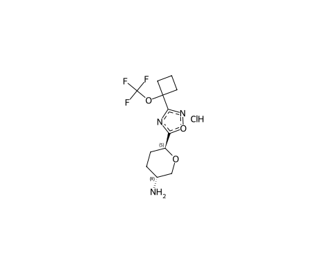 Cl.N[C@@H]1CC[C@@H](c2nc(C3(OC(F)(F)F)CCC3)no2)OC1